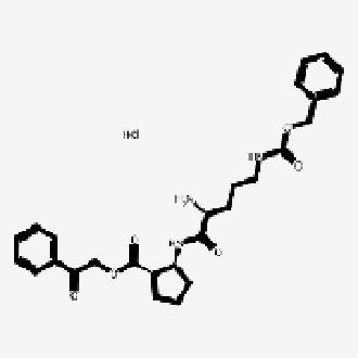 Cl.N[C@@H](CCCNC(=O)OCc1ccccc1)C(=O)N[C@H]1CCC[C@H]1C(=O)OCC(=O)c1ccccc1